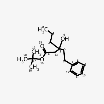 CCCC(O)(CCc1ccccc1)CC(=O)OC(C)(C)C